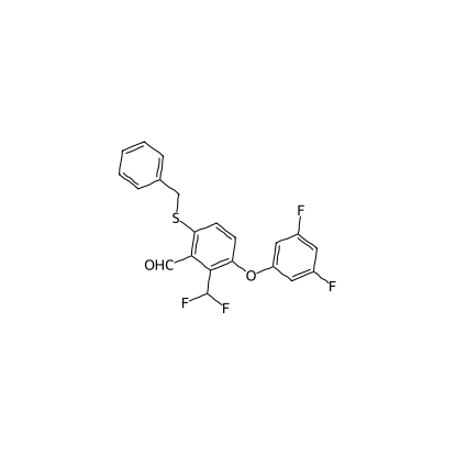 O=Cc1c(SCc2ccccc2)ccc(Oc2cc(F)cc(F)c2)c1C(F)F